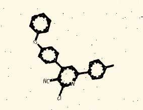 Cc1ccc(-c2cc(-c3ccc(Oc4ccccc4)cc3)c(C#N)c(Cl)n2)cc1